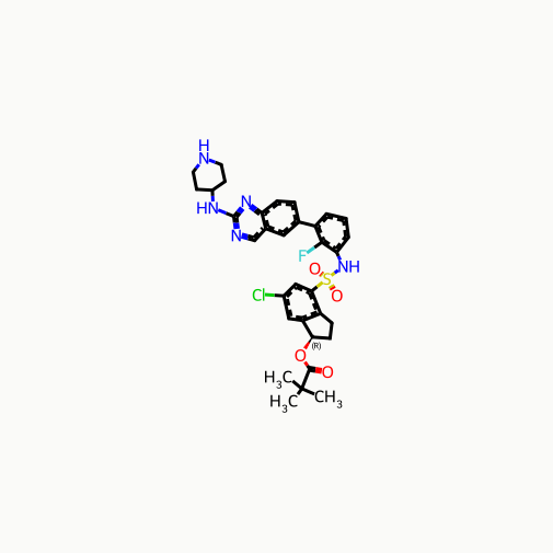 CC(C)(C)C(=O)O[C@@H]1CCc2c1cc(Cl)cc2S(=O)(=O)Nc1cccc(-c2ccc3nc(NC4CCNCC4)ncc3c2)c1F